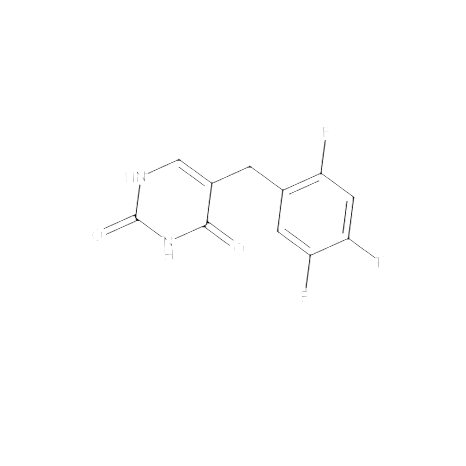 O=c1[nH]cc(Cc2cc(F)c(F)cc2F)c(=O)[nH]1